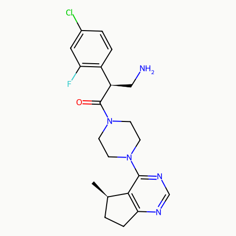 C[C@@H]1CCc2ncnc(N3CCN(C(=O)[C@H](CN)c4ccc(Cl)cc4F)CC3)c21